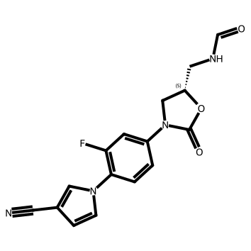 N#Cc1ccn(-c2ccc(N3C[C@H](CNC=O)OC3=O)cc2F)c1